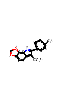 CCOC(=O)C1=C2CC=C3OCOC3=C2N=C1c1ccc(C(C)(C)C)cc1